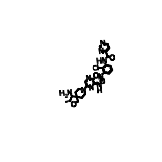 C[C@@H]1OCC2(CCN(c3cnc4on(-c5cccc(NC(=O)c6ccncn6)c5Cl)o[nH]c4n3)CC2)[C@@H]1N